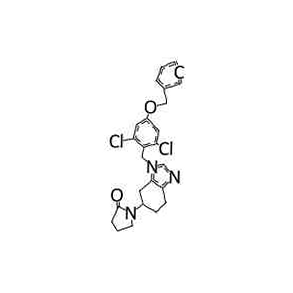 O=C1CCCN1C1CCc2ncn(Cc3c(Cl)cc(OCc4ccccc4)cc3Cl)c2C1